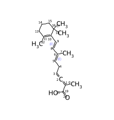 CC(=C=CC/C=C(C)/C=C/C1=C(C)CCCC1(C)C)C(=O)O